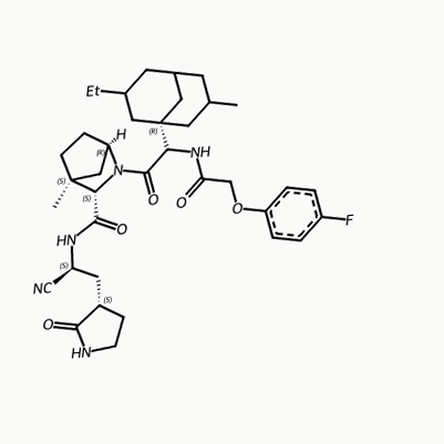 CCC1CC2CC(C)C[C@@](C(NC(=O)COc3ccc(F)cc3)C(=O)N3[C@@H]4CC[C@@](C)(C4)[C@H]3C(=O)N[C@H](C#N)C[C@@H]3CCNC3=O)(C1)C2